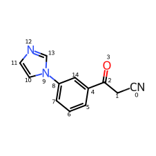 N#CCC(=O)c1cccc(-n2ccnc2)c1